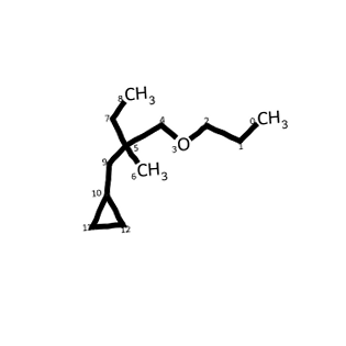 CCCOCC(C)(CC)CC1CC1